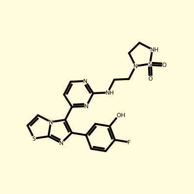 O=S1(=O)NCCN1CCNc1nccc(-c2c(-c3ccc(F)c(O)c3)nc3sccn23)n1